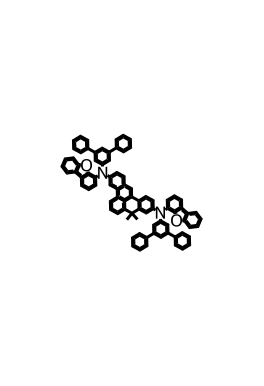 CC1(C)c2cc(N(c3cc(-c4ccccc4)cc(-c4ccccc4)c3)c3cccc4c3oc3ccccc34)ccc2-c2cc3ccc(N(c4cc(-c5ccccc5)cc(-c5ccccc5)c4)c4cccc5c4oc4ccccc45)cc3c3cccc1c23